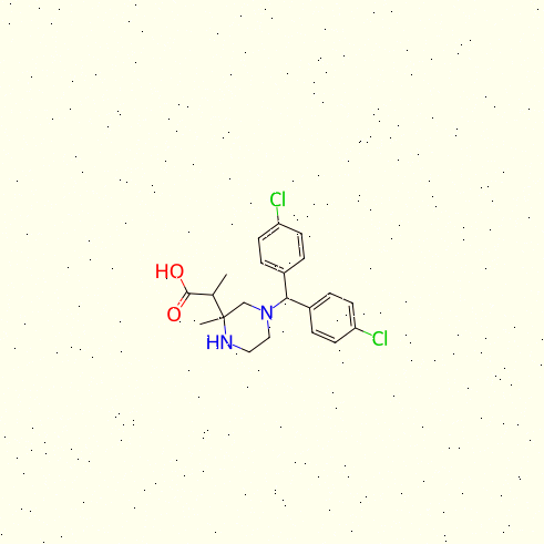 CC(C(=O)O)C1(C)CN(C(c2ccc(Cl)cc2)c2ccc(Cl)cc2)CCN1